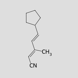 CC(/C=C/C1CCCC1)=C\C#N